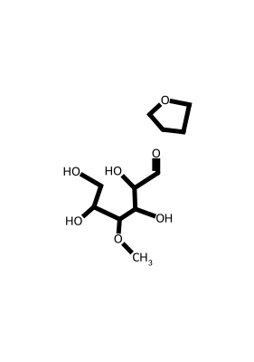 C1CCOC1.COC(C(O)CO)C(O)C(O)C=O